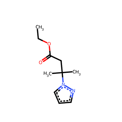 CCOC(=O)CC(C)(C)n1cccn1